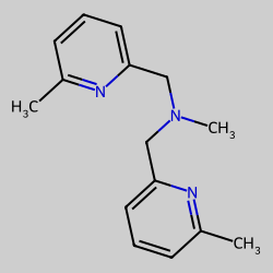 Cc1cccc(CN(C)Cc2cccc(C)n2)n1